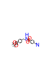 CC1(C)OB(c2ccc(CCNS(=O)(=O)c3ccc(C#N)cc3)cc2)OC1(C)C